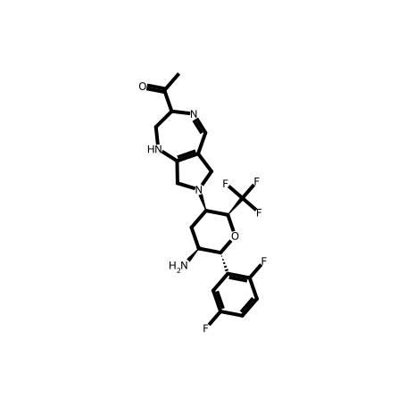 CC(=O)C1CNC2=C(C=N1)CN([C@@H]1C[C@H](N)[C@@H](c3cc(F)ccc3F)O[C@@H]1C(F)(F)F)C2